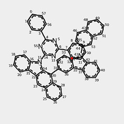 c1ccc(-c2nc(-c3ccccc3)nc(-n3c4ccccc4c4cc5ccccc5c(-c5ccc6c(c5)c5ccccc5n6-c5ccc6ccccc6c5)c43)n2)cc1